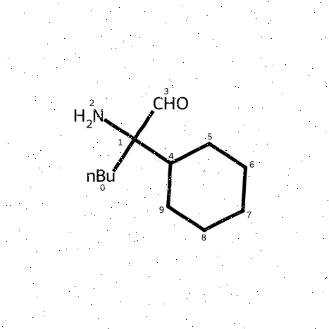 CCCCC(N)(C=O)C1CCCCC1